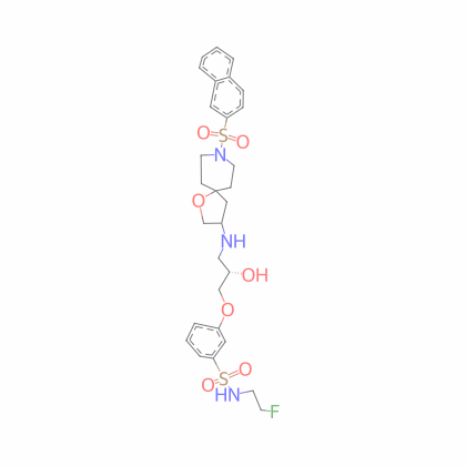 O=S(=O)(NCCF)c1cccc(OC[C@@H](O)CNC2COC3(CCN(S(=O)(=O)c4ccc5ccccc5c4)CC3)C2)c1